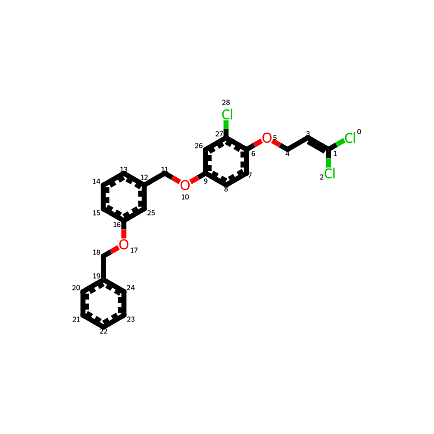 ClC(Cl)=CCOc1ccc(OCc2cccc(OCc3ccccc3)c2)cc1Cl